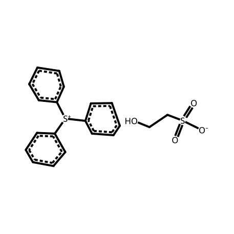 O=S(=O)([O-])CCO.c1ccc([S+](c2ccccc2)c2ccccc2)cc1